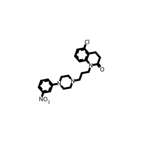 O=C1CCc2c(Cl)cccc2N1CCCN1CCN(c2cccc([N+](=O)[O-])c2)CC1